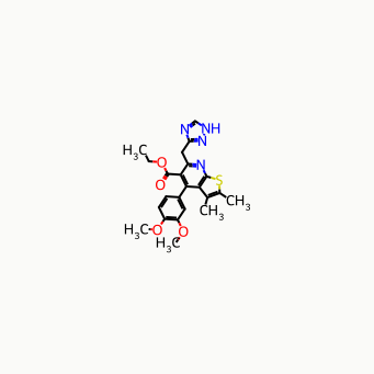 CCOC(=O)c1c(Cc2nc[nH]n2)nc2sc(C)c(C)c2c1-c1ccc(OC)c(OC)c1